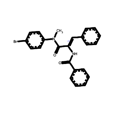 CN(C(=O)/C(=C/c1ccccc1)NC(=O)c1ccccc1)c1ccc(Br)cc1